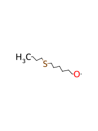 CCCCSCCCCCC[O]